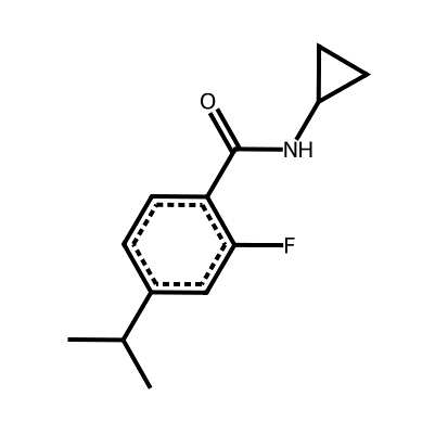 CC(C)c1ccc(C(=O)NC2CC2)c(F)c1